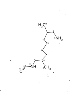 CC(CN)CCCCC(C)CNC=O